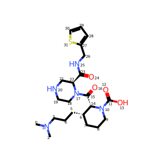 CN(C)CCC[C@H]1CCCN(C(=O)O)[C@H]1C(=O)N1CCNC[C@H]1C(=O)NCc1cccs1